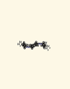 CCC1(COC)OC(=O)C(/C=C/C=C/C=C2C(=O)OC3(CCC4(CC3)OC(=O)C(=C/C=C/C=C/C3=C(O)OC(CC)(COC)OC3=O)C(=O)O4)OC2=O)=C(O)O1